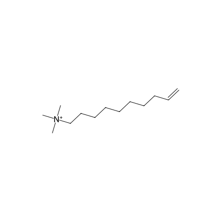 C=CCCCCCCCC[N+](C)(C)C